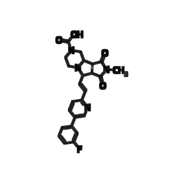 CN1C(=O)C2C(C1=O)C1CN(C(=O)O)CCN1C2C=Cc1ccc(-c2cccc(F)c2)cn1